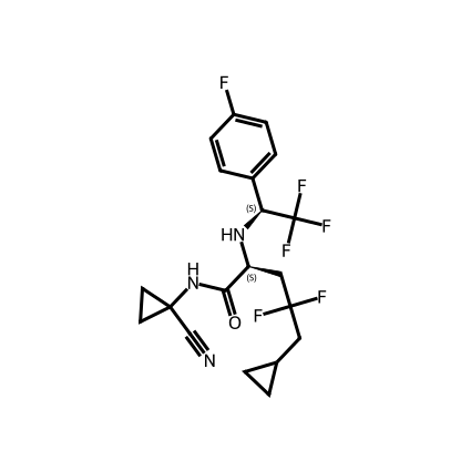 N#CC1(NC(=O)[C@H](CC(F)(F)CC2CC2)N[C@@H](c2ccc(F)cc2)C(F)(F)F)CC1